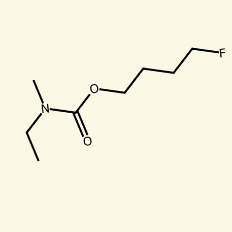 CCN(C)C(=O)OCCCCF